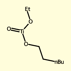 CCCCCC[O][Ti](=[O])[O]CC